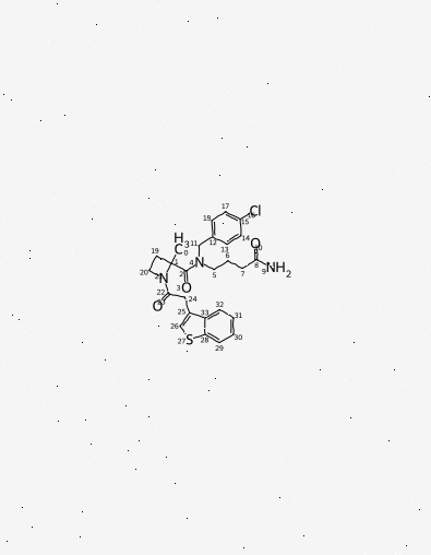 CC1(C(=O)N(CCCC(N)=O)Cc2ccc(Cl)cc2)CCN1C(=O)Cc1csc2ccccc12